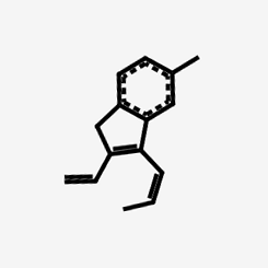 C=CC1=C(/C=C\C)c2cc(C)ccc2C1